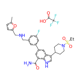 CCS(=O)(=O)N1CCC(c2c[nH]c3c(C(N)=O)cc(-c4cc(F)cc(CNCc5ccc(C)o5)c4)cc23)CC1.O=C(O)C(F)(F)F